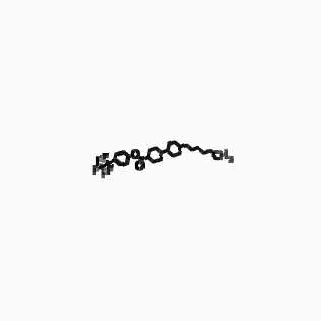 CCCCCCC1CCC(C2CCC(C(=O)Oc3ccc(C(F)(F)C(F)(F)F)cc3)CC2)CC1